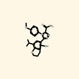 COc1ccc(-n2c(C(N)=O)nnc2-c2cc(C(C)C)c3c(c2O)CCCO3)cc1